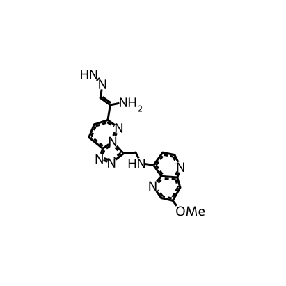 COc1cnc2c(NCc3nnc4ccc(/C(N)=C/N=N)nn34)ccnc2c1